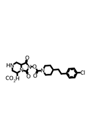 O=C(O)C1CNCC2C(=O)N(OC(=O)N3CCC(CCc4ccc(Cl)cc4)CC3)C(=O)N12